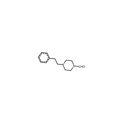 O=CN1CCN(CCc2ccccc2)CC1